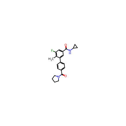 Cc1c(F)cc(C(=O)NC2CC2)cc1-c1ccc(C(=O)N2CCCC2)cc1